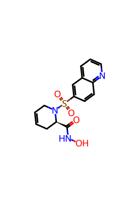 O=C(NO)[C@H]1CC=CCN1S(=O)(=O)c1ccc2ncccc2c1